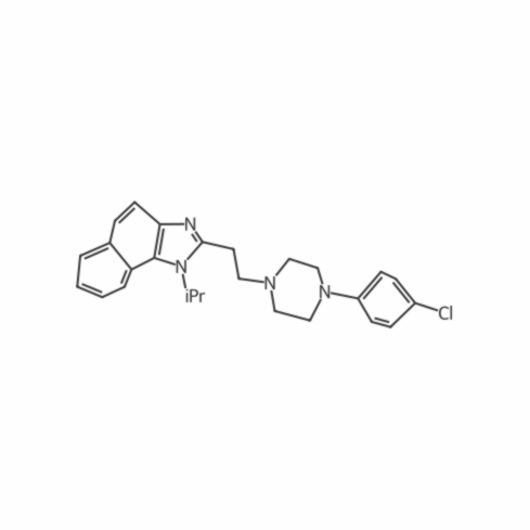 CC(C)n1c(CCN2CCN(c3ccc(Cl)cc3)CC2)nc2ccc3ccccc3c21